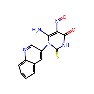 Nc1c(N=O)c(=O)[nH]c(=S)n1-c1cnc2ccccc2c1